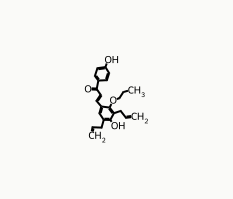 C=CCc1cc(/C=C/C(=O)c2ccc(O)cc2)c(OCCC)c(CC=C)c1O